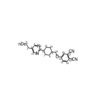 CCCCCCCCCCCc1cnc(C2CCC(COc3ccc(C#N)c(C#N)c3)CC2)nc1